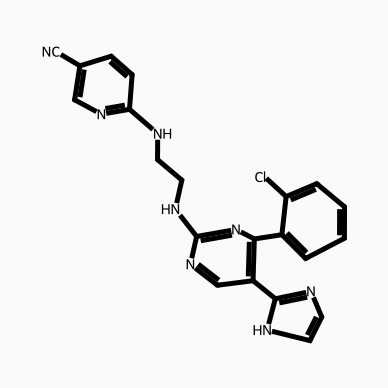 N#Cc1ccc(NCCNc2ncc(-c3ncc[nH]3)c(-c3ccccc3Cl)n2)nc1